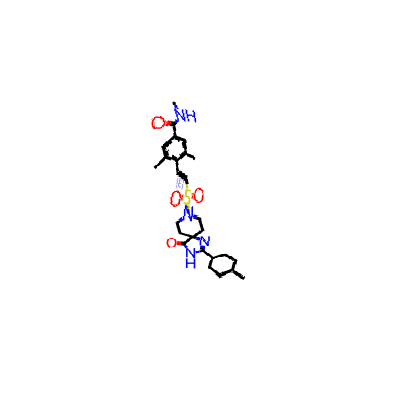 CNC(=O)c1cc(C)c(/C=C/S(=O)(=O)N2CCC3(CC2)N=C(C2CCC(C)CC2)NC3=O)c(C)c1